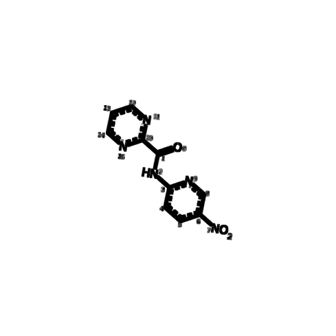 O=C(Nc1ccc([N+](=O)[O-])cn1)c1ncccn1